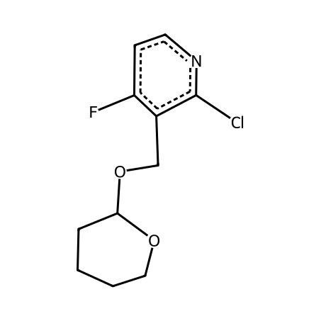 Fc1ccnc(Cl)c1COC1CCCCO1